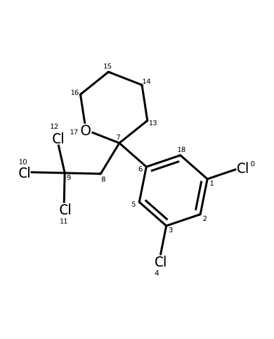 Clc1cc(Cl)cc(C2(CC(Cl)(Cl)Cl)CCCCO2)c1